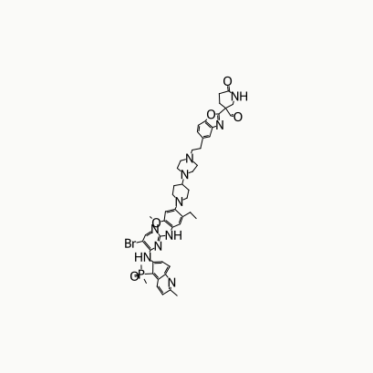 CCc1cc(Nc2ncc(Br)c(Nc3ccc4nc(C)ccc4c3P(C)(C)=O)n2)c(OC)cc1N1CCC(N2CCN(CCc3ccc4oc(C5(C=O)CCC(=O)NC5)nc4c3)CC2)CC1